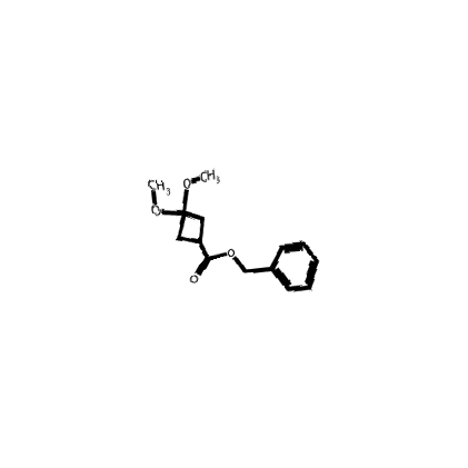 COC1(OC)CC(C(=O)OCc2ccccc2)C1